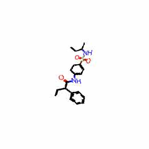 CCC(C)NS(=O)(=O)C1=CC=C(NC(=O)C(CC)c2ccccc2)CC1